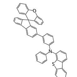 c1ccc(N(c2cccc(-c3ccc4c(c3)C3(c5ccccc5Oc5ccccc53)c3ccccc3-4)c2)c2cccc3c2sc2ccccc23)cc1